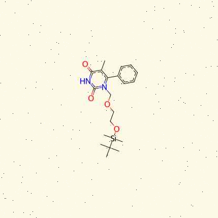 Cc1c(-c2[c]cccc2)n(COCCO[Si](C)(C)C(C)(C)C)c(=O)[nH]c1=O